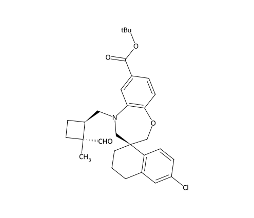 CC(C)(C)OC(=O)c1ccc2c(c1)N(C[C@@H]1CC[C@@]1(C)C=O)C[C@@]1(CCCc3cc(Cl)ccc31)CO2